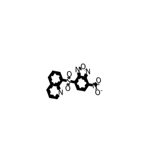 O=[N+]([O-])c1ccc(S(=O)(=O)c2cccc3cccnc23)c2nonc12